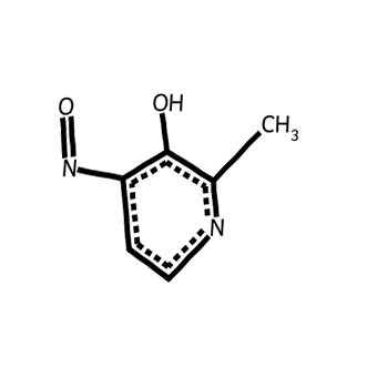 Cc1nccc(N=O)c1O